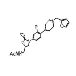 CC(=O)NCC1CN(c2ccc(C3CCN(Cc4ccco4)CC3)c(F)c2)C(=O)O1